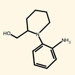 Nc1ccccc1N1CCCCC1CO